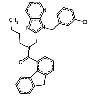 CCCCN(Cc1nc2cccnc2n1Cc1cccc(Cl)c1)C(=O)c1cccc2c1-c1ccccc1C2